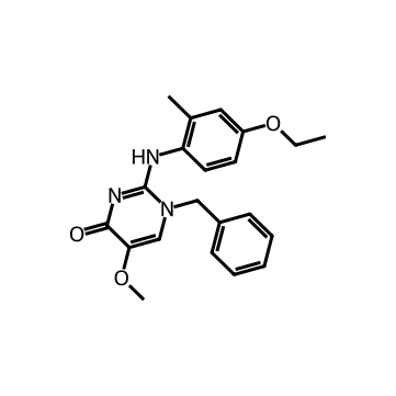 CCOc1ccc(Nc2nc(=O)c(OC)cn2Cc2ccccc2)c(C)c1